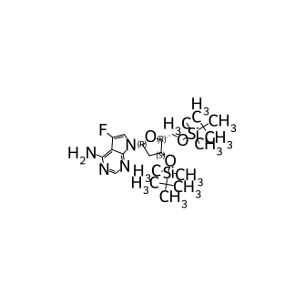 CC(C)(C)[Si](C)(C)OC[C@H]1O[C@@H](n2cc(F)c3c(N)ncnc32)C[C@@H]1O[Si](C)(C)C(C)(C)C